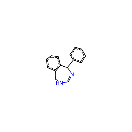 C1=NC(c2ccccc2)c2ccccc2CN1